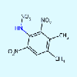 Cc1cc([N+](=O)[O-])c(N[N+](=O)[O-])c([N+](=O)[O-])c1C